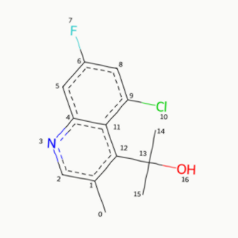 Cc1cnc2cc(F)cc(Cl)c2c1C(C)(C)O